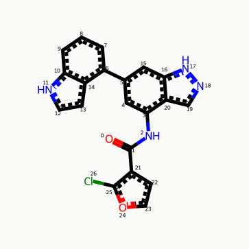 O=C(Nc1cc(-c2cccc3[nH]ccc23)cc2[nH]ncc12)c1ccoc1Cl